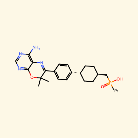 CC(C)P(=O)(O)C[C@H]1CC[C@H](c2ccc(C3=Nc4c(N)ncnc4OC3(C)C)cc2)CC1